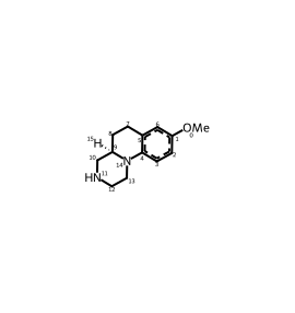 COc1ccc2c(c1)CC[C@@H]1CNCCN21